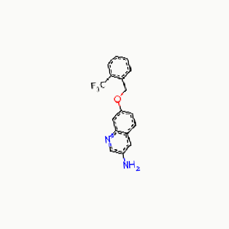 Nc1cnc2cc(OCc3ccccc3C(F)(F)F)ccc2c1